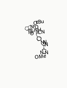 COc1ncc(-c2cn(-c3ccc(C[C@@H](C#N)NC(=O)[C@@H]4[C@H]5CCCC5CN4C(=O)OC(C)(C)C)cc3)nn2)cn1